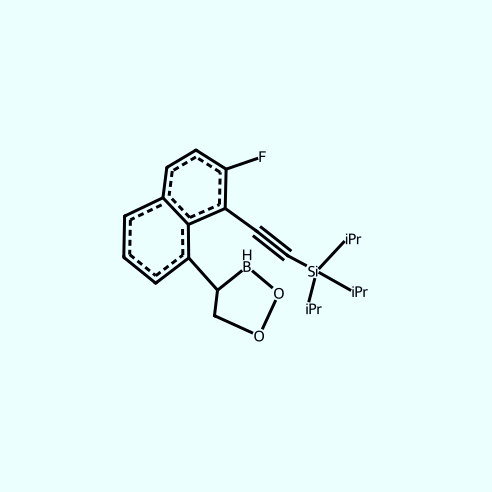 CC(C)[Si](C#Cc1c(F)ccc2cccc(C3BOOC3)c12)(C(C)C)C(C)C